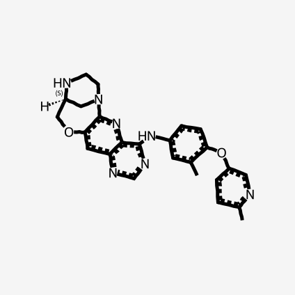 Cc1ccc(Oc2ccc(Nc3ncnc4cc5c(nc34)N3CCN[C@H](CO5)C3)cc2C)cn1